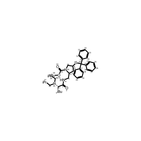 CC[C@H](C)[C@@H](C(=O)NCC1CC(SC(c2ccccc2)(c2ccccc2)c2ccccc2)CN1C(=O)OC(C)(C)C)N(CC(C)C)CC(C)C